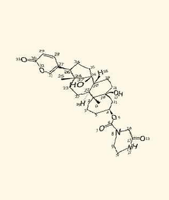 C[C@]12CC[C@H](OC(=O)N3CCNC(=O)C3)C[C@@]1(O)CC[C@@H]1[C@@H]2CC[C@]2(C)[C@@H](c3ccc(=O)oc3)CC[C@]12O